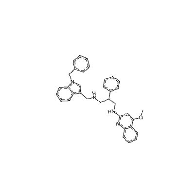 COc1cc(NCC(CNCc2cn(Cc3ccccc3)c3ccccc23)c2ccccc2)nc2ccccc12